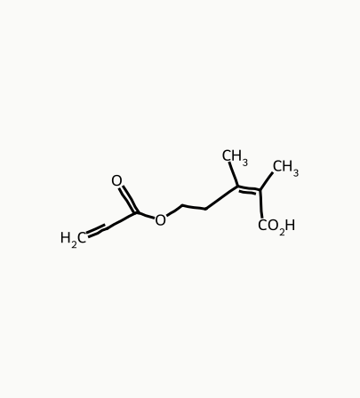 C=CC(=O)OCCC(C)=C(C)C(=O)O